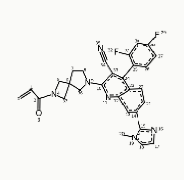 C=CC(=O)N1CC2(CCN(c3nc4cc(-c5nccn5C)ccc4c(-c4ccc(F)cc4F)c3C#N)C2)C1